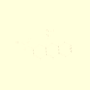 O=S(=O)(O)c1ccc2cc3ccccc3cc2c1.[NaH].[NaH]